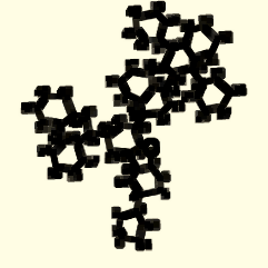 c1ccc(-c2ccc3oc4c(-c5ccc6c7c(cccc57)-c5c-6c(-c6ccccc6)c6ccccc6c5-c5ccccc5)cc(-c5cc6ccccc6c6ccccc56)cc4c3c2)cc1